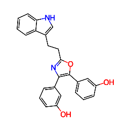 Oc1cccc(-c2nc(CCc3c[nH]c4ccccc34)oc2-c2cccc(O)c2)c1